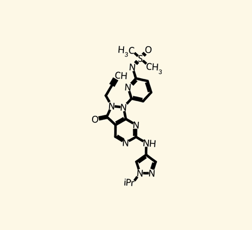 C#CCn1c(=O)c2cnc(Nc3cnn(C(C)C)c3)nc2n1-c1cccc(N=S(C)(C)=O)n1